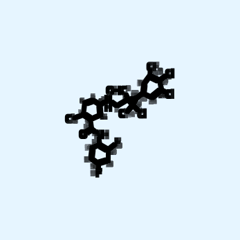 O=CC1(CNc2ccc(Cl)c(C(=O)Nc3ccc(F)cc3F)c2)C(c2cc(Cl)c(Cl)c(C(F)(F)F)c2)C1(Cl)Cl